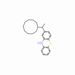 CC(c1ccc2c(c1)Nc1ccccc1S2)C1CCCCCCCCC1